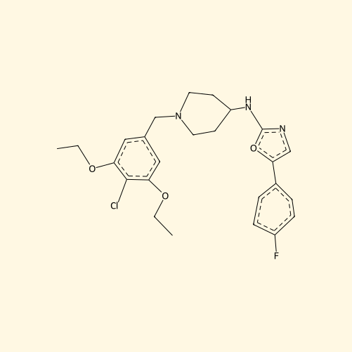 CCOc1cc(CN2CCC(Nc3ncc(-c4ccc(F)cc4)o3)CC2)cc(OCC)c1Cl